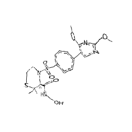 COc1ncc(-c2ccc(S(=O)(=O)N3CCSC(C)(C)[C@@H]3C(=O)NO)cc2)c(OC)n1